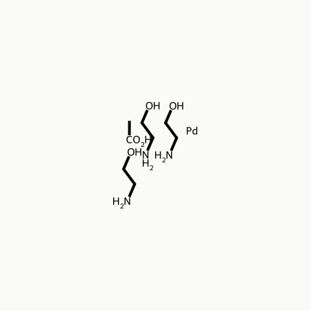 CC(=O)O.NCCO.NCCO.NCCO.[Pd]